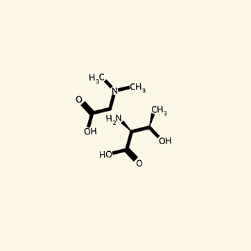 CN(C)CC(=O)O.C[C@@H](O)[C@H](N)C(=O)O